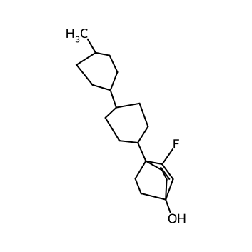 CC1CCC(C2CCC(C34CCC(O)(C=C3F)CC4)CC2)CC1